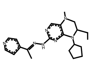 CCC1CN(C)c2cnc(N/N=C(\C)c3ccncc3)nc2N1C1CCCC1